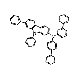 c1ccc(-c2ccc(N(c3cccc(-c4ccccc4)c3)c3ccc4c5ccc(-c6ccccc6)cc5n(-c5ccccc5)c4c3)cc2)cc1